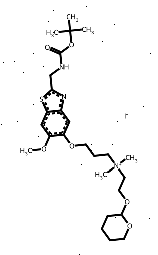 COc1cc2sc(CNC(=O)OC(C)(C)C)nc2cc1OCCC[N+](C)(C)CCOC1CCCCO1.[I-]